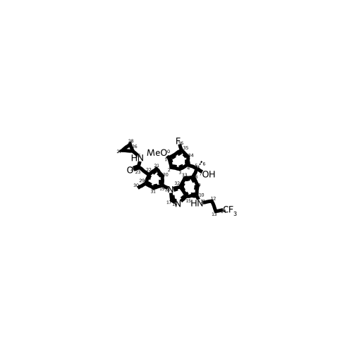 COc1ccc([C@@](C)(O)c2cc(NCCC(F)(F)F)c3ncn(-c4ccc(C(=O)NC5CC5)c(C)c4)c3c2)cc1F